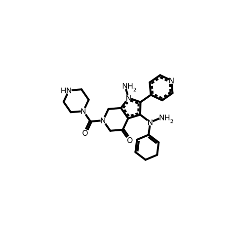 NN(C1=CCCC=C1)c1c2c(n(N)c1-c1ccncc1)CN(C(=O)N1CCNCC1)CC2=O